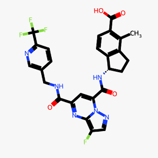 Cc1c(C(=O)O)ccc2c1CC[C@@H]2NC(=O)c1cc(C(=O)NCc2ccc(C(F)(F)F)nc2)nc2c(F)cnn12